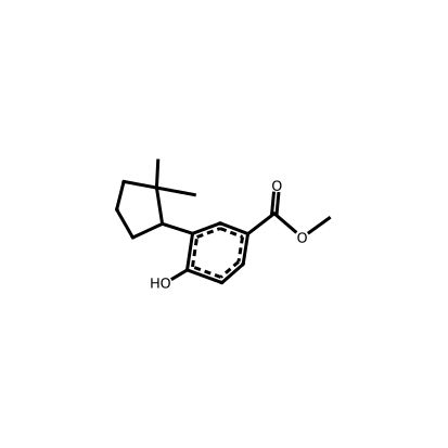 COC(=O)c1ccc(O)c(C2CCCC2(C)C)c1